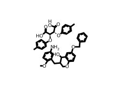 COc1ccc(N)cc1CC1COc2ccc(OCc3ccccc3)cc2C1O.Cc1ccc(O[C@@H](C(=O)O)[C@@H](Oc2ccc(C)cc2)C(=O)O)cc1